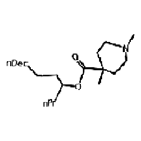 CCCCCCCCCCCCC(CCC)OC(=O)C1(C)CCN(C)CC1